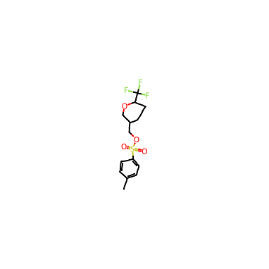 Cc1ccc(S(=O)(=O)OCC2CCC(C(F)(F)F)OC2)cc1